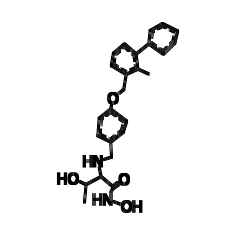 Cc1c(COc2ccc(CNC(C(=O)NO)C(C)O)cc2)cccc1-c1ccccc1